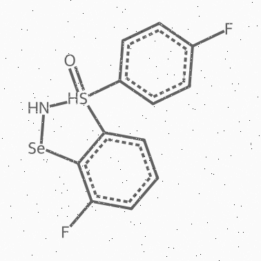 O=[SH]1(c2ccc(F)cc2)N[Se]c2c(F)cccc21